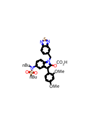 CCCCN(c1ccc2c(c1)c(-c1ccc(OC)cc1OC)c(OC(=O)O)n2Cc1ccc2nsnc2c1)S(=O)(=O)CCCC